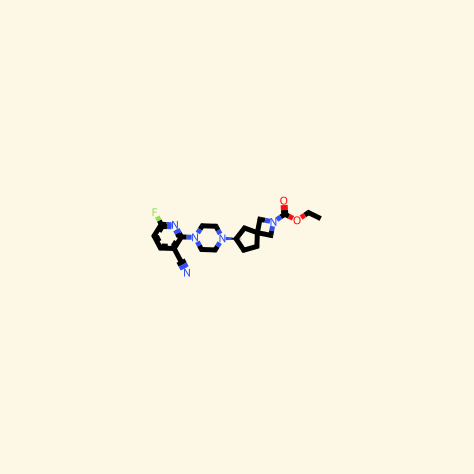 CCOC(=O)N1CC2(CC[C@@H](N3CCN(c4nc(F)ccc4C#N)CC3)C2)C1